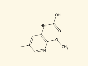 COc1ncc(I)cc1NC(=O)O